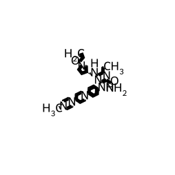 C=CC(=O)N1CC[C@@H](CNc2nc(Nc3ccc(N4CCC(N5CCN(C)CC5)CC4)cc3)c(C(N)=O)nc2CC)C1